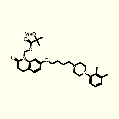 COC(C)(C)C(=O)OCN1C(=O)CCc2ccc(OCCCCN3CCN(c4cccc(C)c4C)CC3)cc21